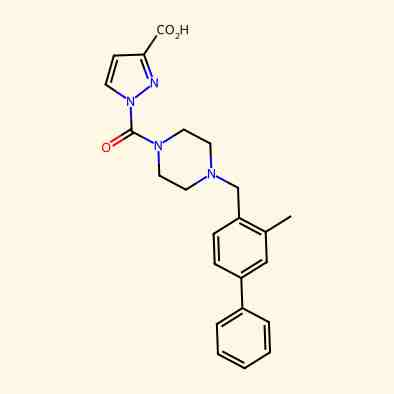 Cc1cc(-c2ccccc2)ccc1CN1CCN(C(=O)n2ccc(C(=O)O)n2)CC1